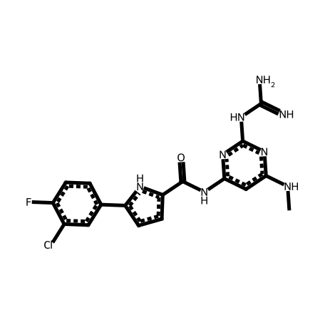 CNc1cc(NC(=O)c2ccc(-c3ccc(F)c(Cl)c3)[nH]2)nc(NC(=N)N)n1